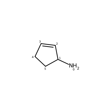 NC1C=CCC1